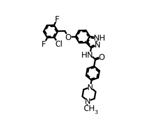 CN1CCN(c2ccc(C(=O)Nc3n[nH]c4ccc(OCc5c(F)ccc(F)c5Cl)cc34)cc2)CC1